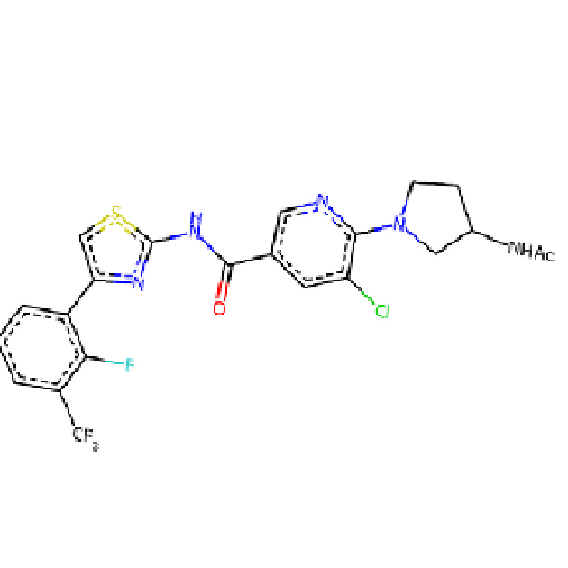 CC(=O)NC1CCN(c2ncc(C(=O)Nc3nc(-c4cccc(C(F)(F)F)c4F)cs3)cc2Cl)C1